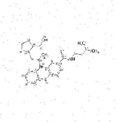 CC(C)CCNC(=S)c1ccc2c(c1)N(C(C)CN1CCC[C@@H]1CO)c1ccccc1S2